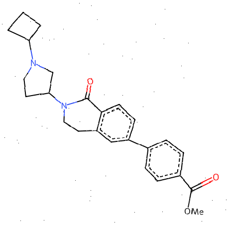 COC(=O)c1ccc(-c2ccc3c(c2)CCN(C2CCN(C4CCC4)C2)C3=O)cc1